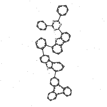 c1ccc(-c2nc(-c3ccccc3)nc(-c3cccc4c3sc3c(-c5ccccc5-c5ccc6sc7c(-c8ccc9c%10ccccc%10c%10ccccc%10c9c8)cccc7c6c5)cccc34)n2)cc1